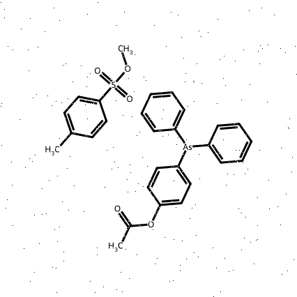 CC(=O)Oc1ccc([As](c2ccccc2)c2ccccc2)cc1.COS(=O)(=O)c1ccc(C)cc1